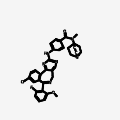 COc1cccc(F)c1C1=NCc2cnc(Nc3ccc(C(=O)N(C)C45CCN(CC4)CC5)cc3)nc2-c2ccc(Cl)cc21